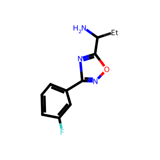 CCC(N)c1nc(-c2cccc(F)c2)no1